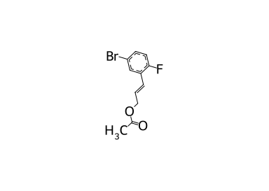 CC(=O)OCC=Cc1cc(Br)ccc1F